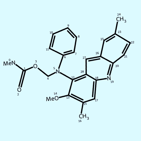 CNC(=O)OCN(c1ccccc1)c1c(OC)c(C)cc2nc3ccc(C)cc3cc12